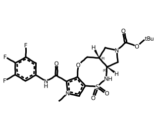 Cn1cc2c(c1C(=O)Nc1cc(F)c(F)c(F)c1)OC[C@@H]1CN(C(=O)OC(C)(C)C)C[C@@H]1NS2(=O)=O